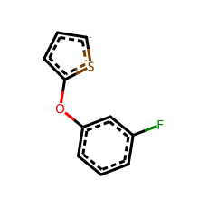 Fc1cccc(Oc2cc[c]s2)c1